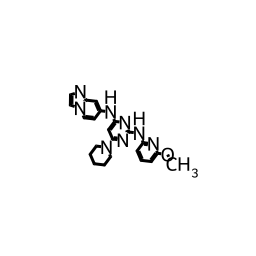 COc1cccc(Nc2nc(Nc3ccn4ccnc4c3)cc(N3CCCCC3)n2)n1